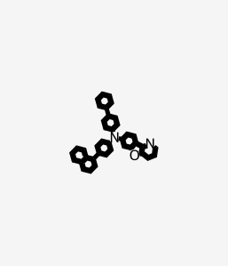 c1ccc(-c2ccc(N(c3ccc(-c4cccc5ccccc45)cc3)c3ccc4c(c3)oc3cccnc34)cc2)cc1